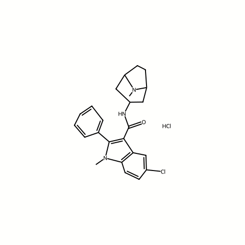 CN1C2CCC1CC(NC(=O)c1c(-c3ccccc3)n(C)c3ccc(Cl)cc13)C2.Cl